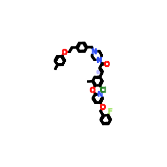 Cc1ccc(OCCc2ccc(CN3CCN(C(=O)/C=C/c4cc(C)c(Oc5ccc(OCc6ccccc6F)cn5)c(Cl)c4)CC3)cc2)cc1